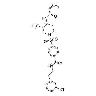 C=CC(=O)NC1CCN(S(=O)(=O)c2ccc(C(=O)NCCc3cccc(Cl)c3)cc2)CC1C